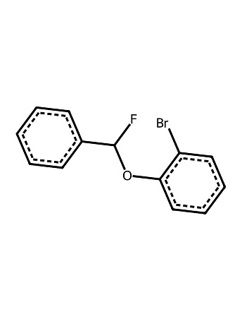 FC(Oc1ccccc1Br)c1ccccc1